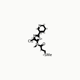 CSCCC(=O)N(C)c1sc(C2=CCCN=C2)nc1Cl